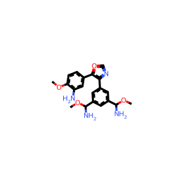 COc1ccc(-c2ocnc2-c2cc(C(N)OC)cc(C(N)OC)c2)cc1N